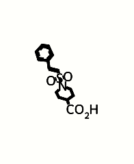 O=C(O)C1CCN(S(=O)(=O)C=Cc2ccccc2)CC1